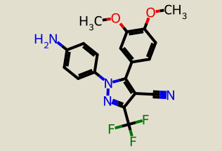 COc1ccc(-c2c(C#N)c(C(F)(F)F)nn2-c2ccc(N)cc2)cc1OC